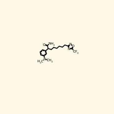 CN(C)c1cccc(C(CCCCCCc2noc(C(F)(F)F)n2)C(N)=O)c1